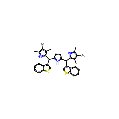 CC(=O)c1c(C)[nH]c(C(c2ccc(C(c3[nH]c(C)c(C(C)=O)c3C)c3csc4ccccc34)[nH]2)c2csc3ccccc23)c1C